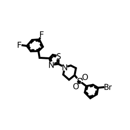 O=S(=O)(c1cccc(Br)c1)C1CCN(c2nc(Cc3cc(F)cc(F)c3)cs2)CC1